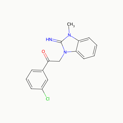 Cn1c(=N)n(CC(=O)c2cccc(Cl)c2)c2ccccc21